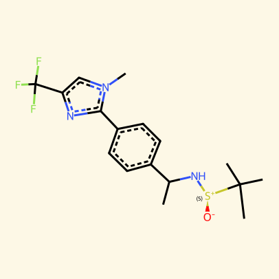 CC(N[S@+]([O-])C(C)(C)C)c1ccc(-c2nc(C(F)(F)F)cn2C)cc1